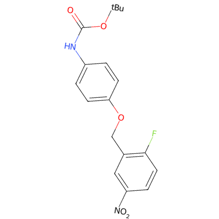 CC(C)(C)OC(=O)Nc1ccc(OCc2cc([N+](=O)[O-])ccc2F)cc1